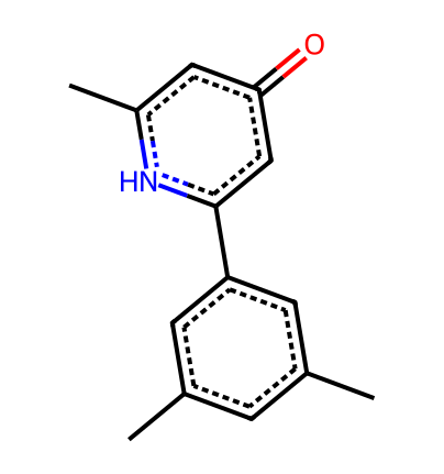 Cc1cc(C)cc(-c2cc(=O)cc(C)[nH]2)c1